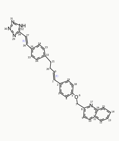 C(=C\c1ccc(OCc2ccc3ccccc3n2)cc1)/CCc1ccc(/C=C/c2nnn[nH]2)cc1